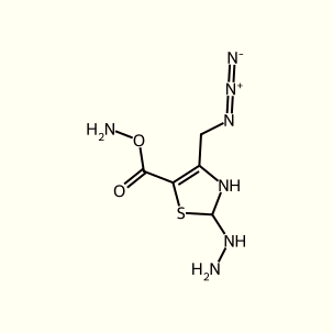 [N-]=[N+]=NCC1=C(C(=O)ON)SC(NN)N1